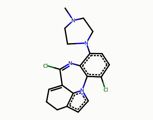 CN1CCN(c2ccc(Cl)c3c2N=C(Cl)C2=CCCc4ccn-3c42)CC1